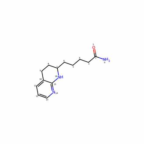 NC(=O)CCCCC1CCc2cccnc2N1